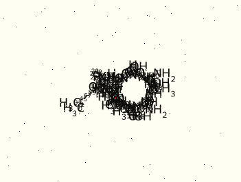 CCC(C)CCCCCCC(=O)NC(Cc1c[nH]c2ccccc12)C(=O)NC(CCC(=O)O)C(=O)NC(CC(N)=O)C(=O)NC1C(=O)N(C)CC(=O)NC(C)C(=O)NC(CC(=O)O)C(=O)NC(CCCCN)C(=O)NC(C(OC)C(=O)O)C(=O)NCC(=O)NC(CC(N)=O)C(=O)NC(C(C)CC(=O)O)C(=O)NC(C(C)C)C(=O)OC1C